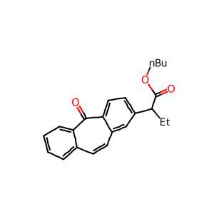 CCCCOC(=O)C(CC)c1ccc2c(=O)c3ccccc3ccc2c1